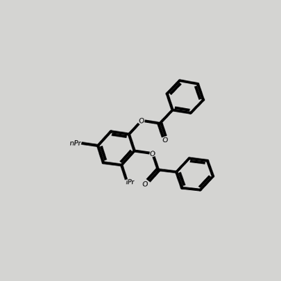 CCCc1cc(OC(=O)c2ccccc2)c(OC(=O)c2ccccc2)c(C(C)C)c1